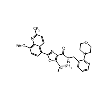 COc1ccc(-c2nc(C(=O)NCc3cccnc3N3CCOCC3)c([C@H](C)N)o2)c2ccc(C(F)(F)F)nc12